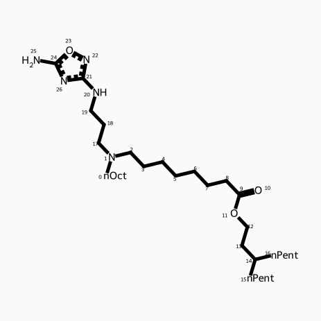 CCCCCCCCN(CCCCCCCC(=O)OCCC(CCCCC)CCCCC)CCCNc1noc(N)n1